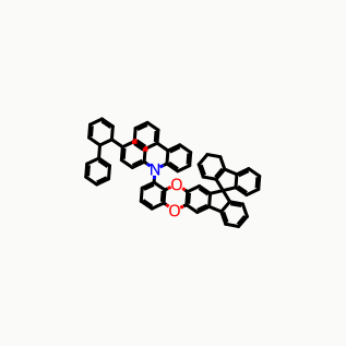 C1=CC(c2ccccc2)C(c2ccc(N(c3ccccc3-c3ccccc3)c3cccc4c3Oc3cc5c(cc3O4)-c3ccccc3C53C4=C(CCC=C4)c4ccccc43)cc2)C=C1